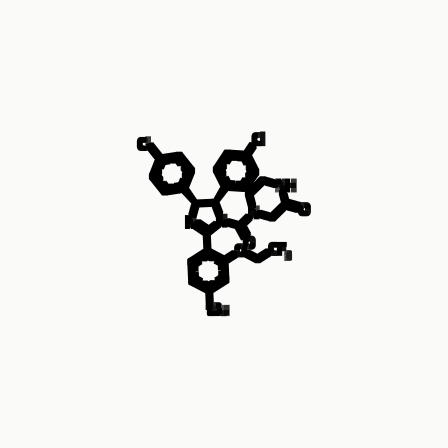 CC(C)(C)c1ccc(C2=N[C@@H](c3ccc(Cl)cc3)[C@@H](c3ccc(Cl)cc3)N2C(=O)N2CCNC(=O)C2)c(OCC(F)(F)F)c1